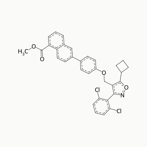 COC(=O)c1cccc2cc(-c3ccc(OCc4c(-c5c(Cl)cccc5Cl)noc4C4CCC4)cc3)ccc12